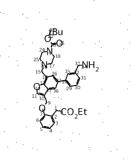 CCOC(=O)Cc1ccccc1OCc1coc2c(CN3CCN(C(=O)OC(C)(C)C)CC3)cc(-c3cccc(CN)c3)cc12